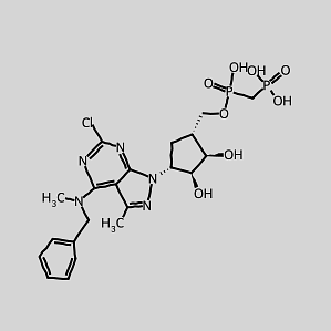 Cc1nn([C@@H]2C[C@H](COP(=O)(O)CP(=O)(O)O)[C@@H](O)[C@H]2O)c2nc(Cl)nc(N(C)Cc3ccccc3)c12